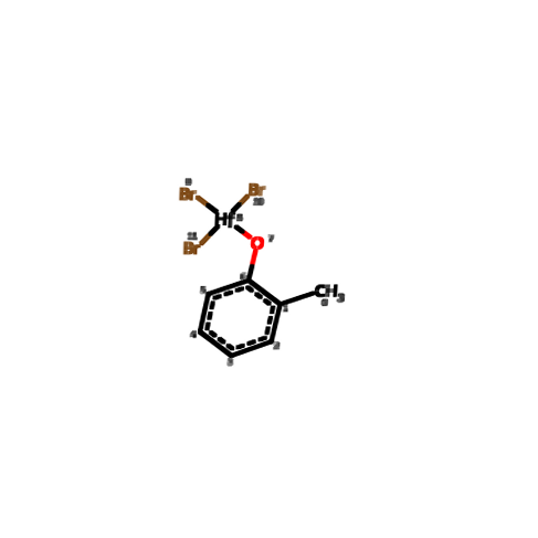 Cc1ccccc1[O][Hf]([Br])([Br])[Br]